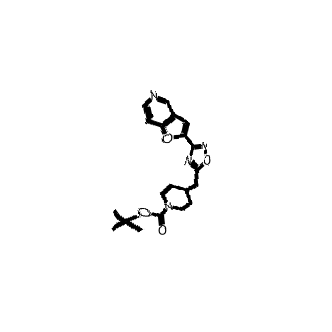 CC(C)(C)OC(=O)N1CCC(Cc2nc(-c3cc4cnccc4o3)no2)CC1